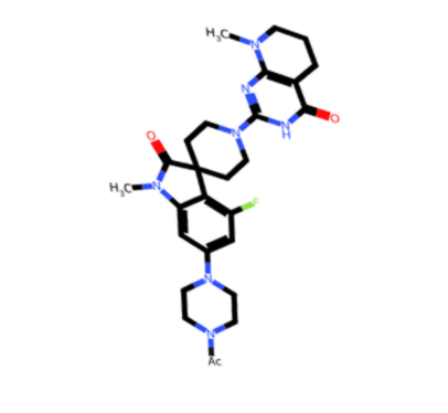 CC(=O)N1CCN(c2cc(F)c3c(c2)N(C)C(=O)C32CCN(c3nc4c(c(=O)[nH]3)CCCN4C)CC2)CC1